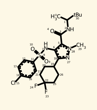 CC(NC(=O)c1c(NS(=O)(=O)c2ccc(Cl)cc2)c(C2CCC(F)(F)CC2)nn1C)C(C)(C)C